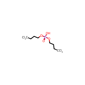 O=P(O)(OCCCC(Cl)(Cl)Cl)OCCCC(Cl)(Cl)Cl